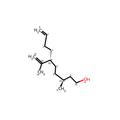 C=CCC[C@H](CC[C@H](C)CCO)C(=C)C